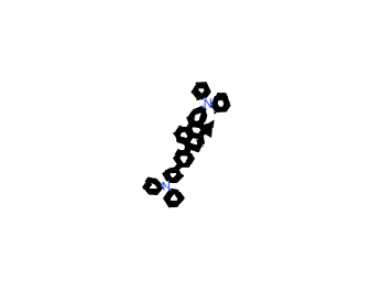 c1ccc(N(c2ccccc2)c2ccc(-c3ccc(-c4ccc5c6c(cccc46)-c4ccc(N(c6ccccc6)c6ccccc6)cc4C54CC4)cc3)cc2)cc1